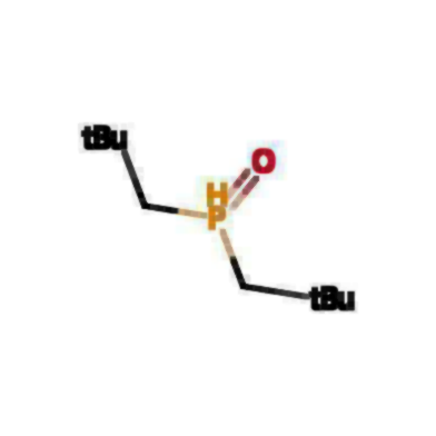 CC(C)(C)C[PH](=O)CC(C)(C)C